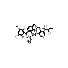 C=CC(=O)Nc1cncc(C)c1Nc1ncc2ccc(C(=O)c3c(F)c(OC)cc(OC)c3F)c(NCCN(C)C)c2n1